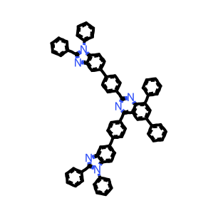 c1ccc(-c2cc(-c3ccccc3)c3nc(-c4ccc(-c5ccc6c(c5)nc(-c5ccccc5)n6-c5ccccc5)cc4)nc(-c4ccc(-c5ccc6c(c5)nc(-c5ccccc5)n6-c5ccccc5)cc4)c3c2)cc1